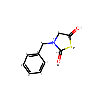 O=C1CN(Cc2ccccc2)C(=O)S1